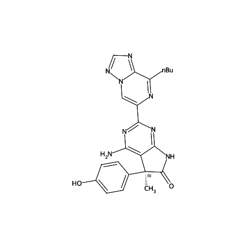 CCCCc1nc(-c2nc(N)c3c(n2)NC(=O)[C@@]3(C)c2ccc(O)cc2)cn2ncnc12